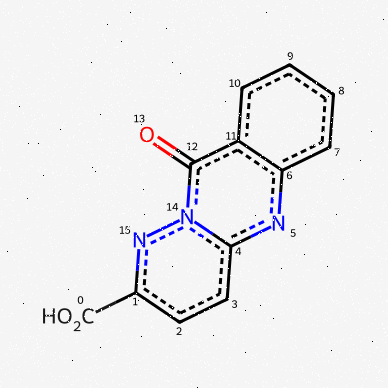 O=C(O)c1ccc2nc3ccccc3c(=O)n2n1